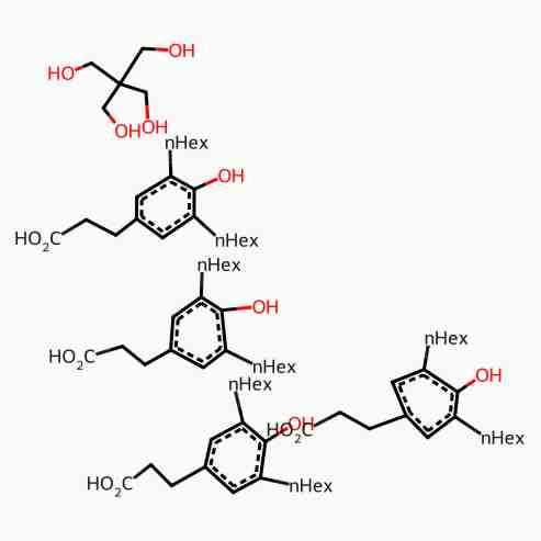 CCCCCCc1cc(CCC(=O)O)cc(CCCCCC)c1O.CCCCCCc1cc(CCC(=O)O)cc(CCCCCC)c1O.CCCCCCc1cc(CCC(=O)O)cc(CCCCCC)c1O.CCCCCCc1cc(CCC(=O)O)cc(CCCCCC)c1O.OCC(CO)(CO)CO